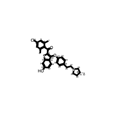 Cc1cc(Cl)cc(C)c1C(=O)c1sc2cc(O)ccc2c1Oc1ccc(CCN2CC[C@@H](C)C2)cc1